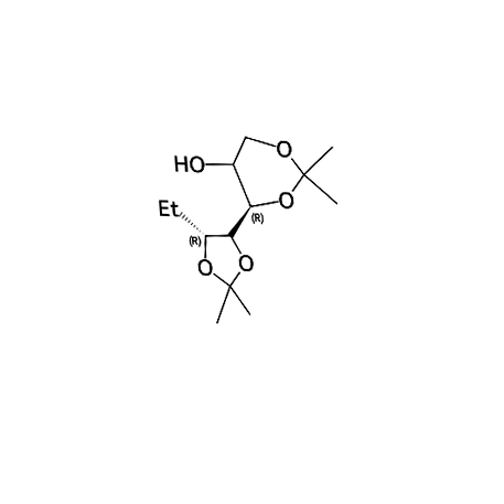 CC[C@H]1OC(C)(C)OC1[C@@H]1OC(C)(C)OCC1O